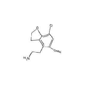 COc1cc(Cl)c2c(c1CCN)CCO2